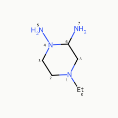 CCN1CCN(N)C(N)C1